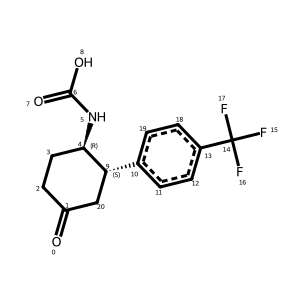 O=C1CC[C@@H](NC(=O)O)[C@H](c2ccc(C(F)(F)F)cc2)C1